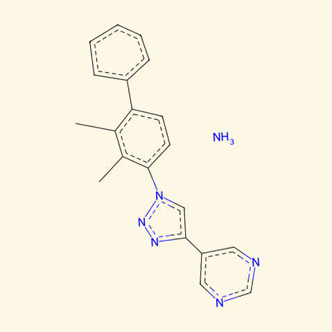 Cc1c(-c2ccccc2)ccc(-n2cc(-c3cncnc3)nn2)c1C.N